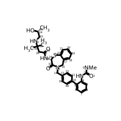 CNC(=O)Nc1ccccc1-c1ccc(CN2Cc3ccccc3S[C@@H](NC(=O)CC(C)(C)NC[C@@H](C)O)C2=O)cc1